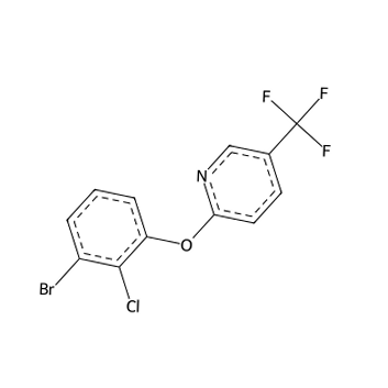 FC(F)(F)c1ccc(Oc2cccc(Br)c2Cl)nc1